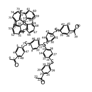 CC(=O)c1ccc(Sc2ccc([S+](c3ccc(Sc4ccc(C(C)=O)cc4)cc3)c3ccc(Sc4ccc(C(C)=O)cc4)cc3)cc2)cc1.Fc1ccccc1[B-](c1ccccc1F)(c1ccccc1F)c1ccccc1F